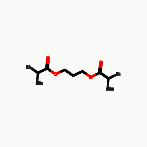 CCCCC(CC)C(=O)OCCCOC(=O)C(CC)CCCC